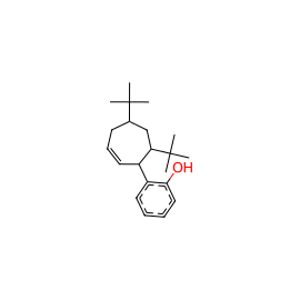 CC(C)(C)C1CC=CC(c2ccccc2O)C(C(C)(C)C)C1